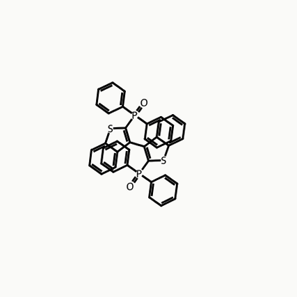 O=P(c1ccccc1)(c1ccccc1)c1sc2ccccc2c1-c1c(P(=O)(c2ccccc2)c2ccccc2)sc2ccccc12